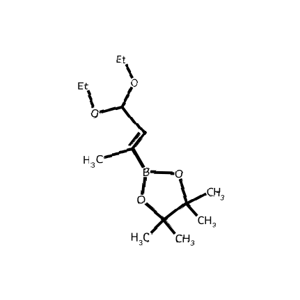 CCOC(/C=C(\C)B1OC(C)(C)C(C)(C)O1)OCC